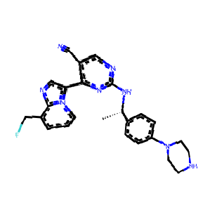 C[C@H](Nc1ncc(C#N)c(-c2cnc3c(CF)cccn23)n1)c1ccc(N2CCNCC2)cc1